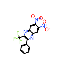 O=[N+]([O-])c1cc2nc(-c3ccccc3)c(C(F)(F)F)nc2cc1[N+](=O)[O-]